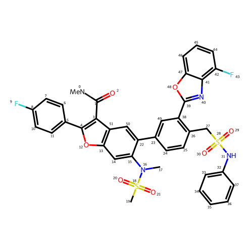 CNC(=O)c1c(-c2ccc(F)cc2)oc2cc(N(C)S(C)(=O)=O)c(-c3ccc(CS(=O)(=O)Nc4ccccc4)c(-c4nc5c(F)cccc5o4)c3)cc12